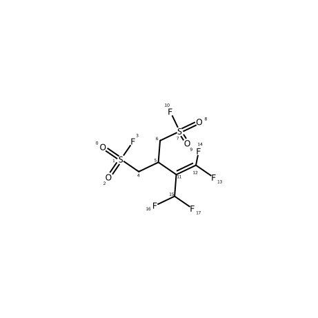 O=S(=O)(F)CC(CS(=O)(=O)F)C(=C(F)F)C(F)F